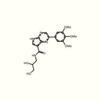 COc1cc(-c2cnc3[nH]cc(C(=O)NCC(O)CO)c3n2)cc(OC)c1OC